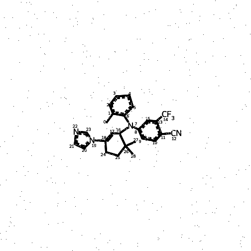 Cc1ccccc1N(c1ccc(C#N)c(C(F)(F)F)c1)C1C=C(n2ccnc2)CCC1(C)C